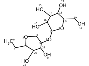 CCC1OCC(OC2OC(CO)C(O)C(O)C2O)C(O)C1O